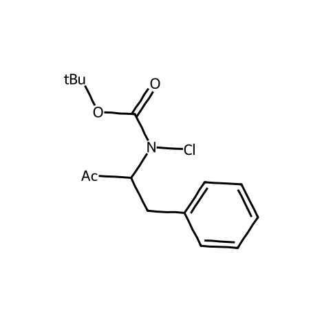 CC(=O)C(Cc1ccccc1)N(Cl)C(=O)OC(C)(C)C